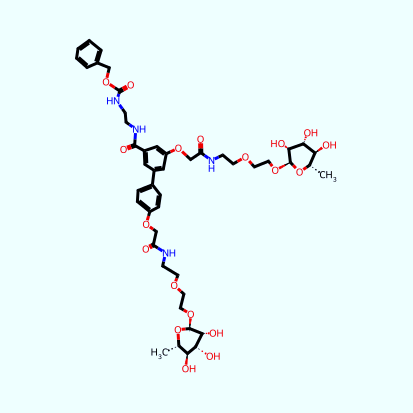 C[C@@H]1O[C@@H](OCCOCCNC(=O)COc2ccc(-c3cc(OCC(=O)NCCOCCO[C@@H]4O[C@@H](C)[C@H](O)[C@@H](O)[C@H]4O)cc(C(=O)NCCNC(=O)OCc4ccccc4)c3)cc2)[C@H](O)[C@H](O)[C@H]1O